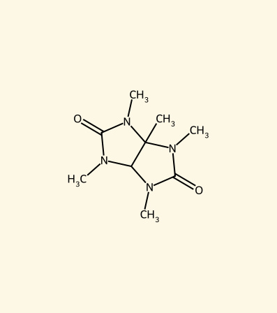 CN1C(=O)N(C)C2(C)C1N(C)C(=O)N2C